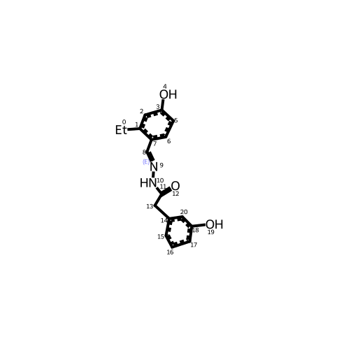 CCc1cc(O)ccc1/C=N/NC(=O)Cc1cccc(O)c1